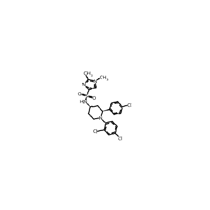 Cc1nc(S(=O)(=O)N[C@@H]2CCN(c3ccc(Cl)cc3Cl)[C@H](c3ccc(Cl)cc3)C2)cn1C